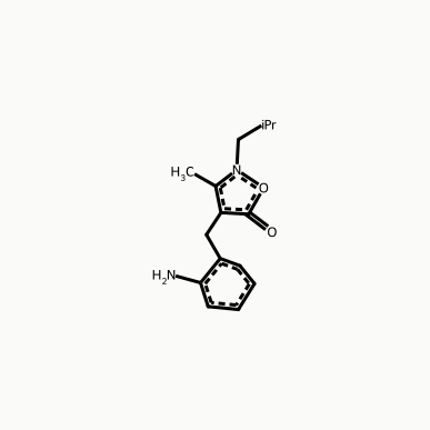 Cc1c(Cc2ccccc2N)c(=O)on1CC(C)C